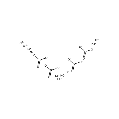 O=[Si]([O-])[O-].O=[Si]([O-])[O-].O=[Si]([O-])[O-].O=[Si]([O-])[O-].[Al+3].[Al+3].[Al+3].[Na+].[Na+].[Na+].[OH-].[OH-].[OH-].[OH-]